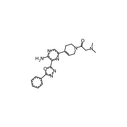 CN(C)CC(=O)N1CC=C(c2cnc(N)c(-c3nnc(-c4ccccc4)o3)n2)CC1